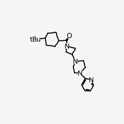 CC(C)(C)C1CCC(C(=O)N2CC(N3CCN(c4ccccn4)CC3)C2)CC1